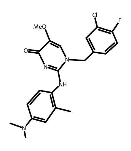 COc1cn(Cc2ccc(F)c(Cl)c2)c(Nc2ccc(N(C)C)cc2C)nc1=O